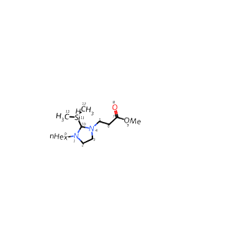 CCCCCCN1CCN(CCC(=O)OC)C1[SiH](C)C